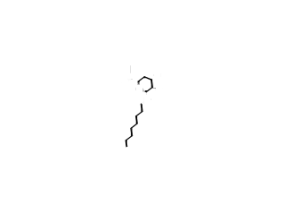 CCCCCCCCO[C@@H]1O[C@H](CO)[C@H](O)[C@@H](O)[C@H]1O